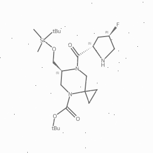 CC(C)(C)OC(=O)N1C[C@@H](CO[Si](C)(C)C(C)(C)C)N(C(=O)[C@@H]2C[C@@H](F)CN2)CC12CC2